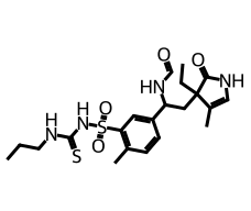 CCCNC(=S)NS(=O)(=O)c1cc(C(CC2(CC)C(=O)NC=C2C)NC=O)ccc1C